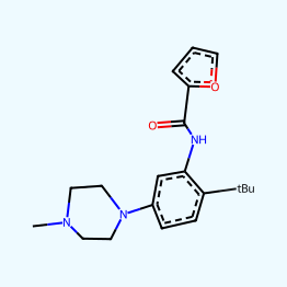 CN1CCN(c2ccc(C(C)(C)C)c(NC(=O)c3ccco3)c2)CC1